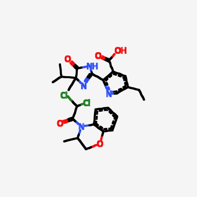 CC1COc2ccccc2N1C(=O)C(Cl)Cl.CCc1cnc(C2=NC(C)(C(C)C)C(=O)N2)c(C(=O)O)c1